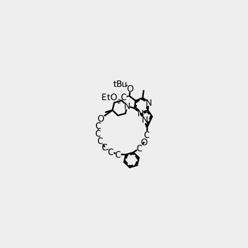 CCOC(=O)[C@@H](OC(C)(C)C)c1c(C)nc2cc3nn2c1N1CCC(C)(CC1)OCCCCCCc1ccccc1COC3